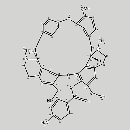 COc1ccc2cc1Oc1ccc(cc1)C[C@H]1c3cc(c(CO)cc3CCN1C)Oc1c(OC(=O)c3ccc(N)cc3)c(CO)cc3c1[C@H](C2)N(C)CC3